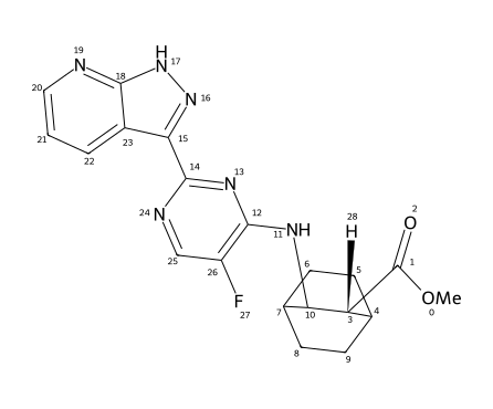 COC(=O)[C@@H]1C2CCC(CC2)C1Nc1nc(-c2n[nH]c3ncccc23)ncc1F